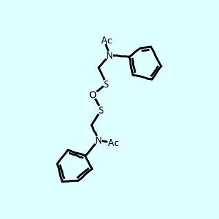 CC(=O)N(CSOSCN(C(C)=O)c1ccccc1)c1ccccc1